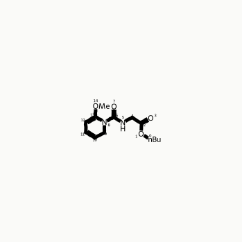 CCCCOC(=O)CNC(=O)N1CC=CC=C1OC